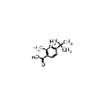 Cc1nc(C(C)(C)C)ccc1C(=O)O